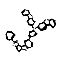 c1ccc(-c2nc3c(ccc4oc5ccc(-c6ccc(N(c7ccc8c(c7)sc7ccccc78)c7ccc8c(c7)sc7ccccc78)cc6)cc5c43)o2)cc1